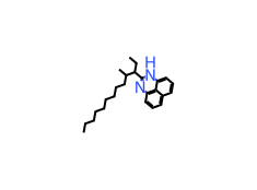 CCCCCCCCCC(C)C(CC)C1=Nc2cccc3cccc(c23)N1